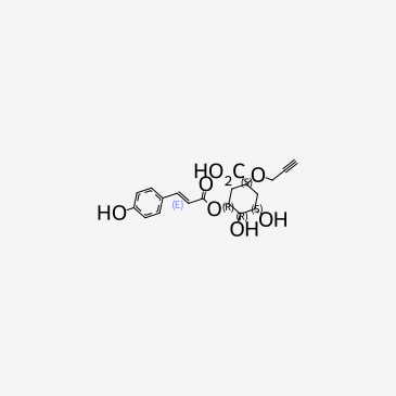 C#CCO[C@@]1(C(=O)O)C[C@H](O)[C@@H](O)[C@H](OC(=O)/C=C/c2ccc(O)cc2)C1